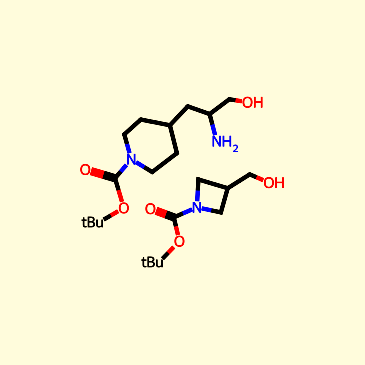 CC(C)(C)OC(=O)N1CC(CO)C1.CC(C)(C)OC(=O)N1CCC(CC(N)CO)CC1